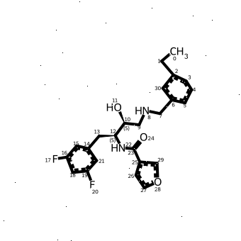 CCc1cccc(CNC[C@H](O)[C@H](Cc2cc(F)cc(F)c2)NC(=O)c2ccoc2)c1